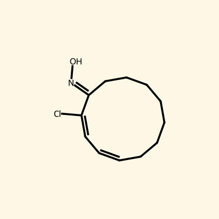 ON=C1CCCCCCCC=CC=C1Cl